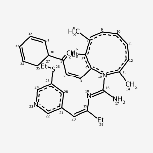 C=C(/C=C\c1c(CC)c(C)ccccc(C)n1/C(N)=N/C(=C\c1cncc(SCC)c1)CC)C1C=CC=CC1